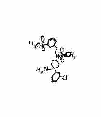 CS(=O)(=O)c1cccc(CCN([C@H]2CC[C@](CN)(c3cccc(Cl)c3)CC2)S(C)(=O)=O)c1.Cl